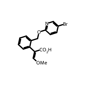 CO/C=C(\C(=O)O)c1ccccc1COc1ccc(Br)cn1